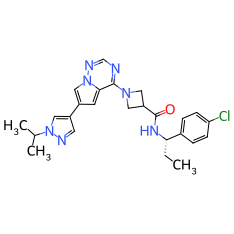 CC[C@H](NC(=O)C1CN(c2ncnn3cc(-c4cnn(C(C)C)c4)cc23)C1)c1ccc(Cl)cc1